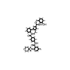 Cc1cnc(N2CC3(CCOCC3)C2)c(C(=O)Nc2ccc(C(=O)N3CCc4cc(C(=O)Nc5c(O)cccc5F)sc4-c4ccccc43)cc2)c1